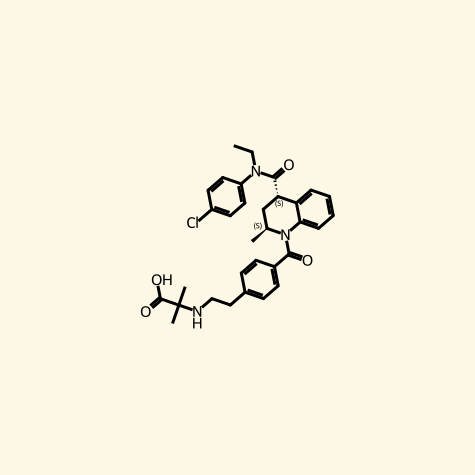 CCN(C(=O)[C@H]1C[C@H](C)N(C(=O)c2ccc(CCNC(C)(C)C(=O)O)cc2)c2ccccc21)c1ccc(Cl)cc1